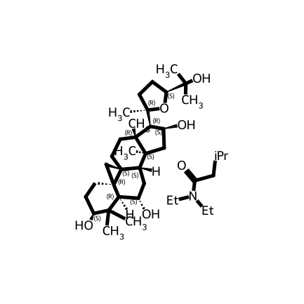 CC(C)(O)[C@@H]1CC[C@](C)([C@H]2[C@@H](O)C[C@@]3(C)[C@@H]4C[C@H](O)[C@H]5C(C)(C)[C@@H](O)CC[C@@]56C[C@@]46CC[C@]23C)O1.CCN(CC)C(=O)CC(C)C